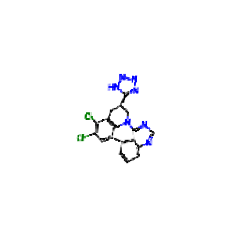 Clc1ccc(-c2cccc3ncnc(N4CCC[C@@H](c5nnn[nH]5)C4)c23)cc1Cl